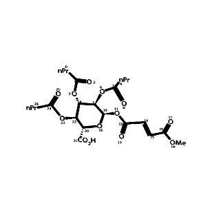 CCCC(=O)O[C@@H]1[C@@H](OC(=O)CCC)[C@@H](OC(=O)/C=C/C(=O)OC)O[C@H](C(=O)O)[C@H]1OC(=O)CCC